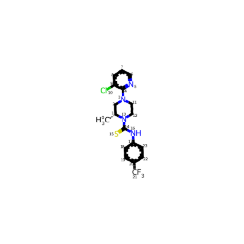 C[C@@H]1CN(c2ncccc2Cl)CCN1C(=S)Nc1ccc(C(F)(F)F)cc1